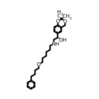 CC1(C)OCc2cc([C@H](O)CNCCCCCCOCCCCc3ccccc3)ccc2O1